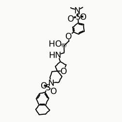 CN(C)S(=O)(=O)c1cccc(OC[C@@H](O)CNC2COC3(CCN(S(=O)(=O)c4ccc5c(c4)CCCC5)CC3)C2)c1